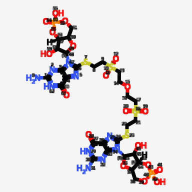 Nc1nc2c(nc(SCCS(=O)(=O)CCOCCS(=O)(=O)CCSc3nc4c(=O)[nH]c(N)nc4n3[C@@H]3OC4COP(=O)(O)O[C@H]4C3O)n2[C@@H]2OC3COP(=O)(O)O[C@H]3C2O)c(=O)[nH]1